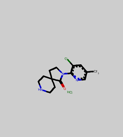 Cl.O=C1N(c2ncc(C(F)(F)F)cc2Cl)CCC12CCNCC2